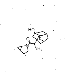 NC(C(=O)N1CCC2CC21)C12CC3CC4CC(O)(C1)C2(C4)C3